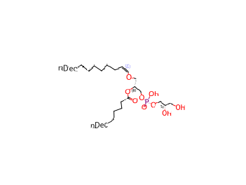 CCCCCCCCCCCCCCCC/C=C\OC[C@H](COP(=O)(O)OC[C@@H](O)CO)OC(=O)CCCCCCCCCCCCCC